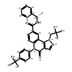 C[C@H](NC(=O)c1ccc2c(c1)c1c(cnn1CC(F)(F)F)c(=O)n2-c1ccc(C(F)(F)F)cc1)c1ccccn1